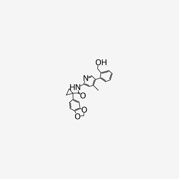 Cc1cc(NC(=O)C2(c3ccc4c(c3)OCO4)CC2)ncc1-c1ccccc1CO